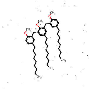 CCCCCCCCCc1ccc(OC)c(Cc2cc(CCCCCCCCC)cc(Cc3cc(CCCCCCCCC)ccc3OC)c2OC)c1